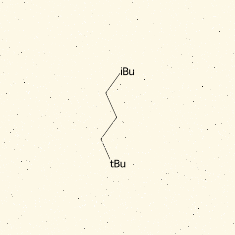 [CH2]C(C)(C)CCCC(C)CC